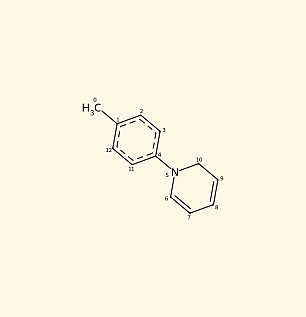 Cc1ccc(N2C=CC=CC2)cc1